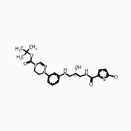 CC(C)(C)OC(=O)N1C=NN(c2cccc(NC[C@H](O)CNC(=O)c3ccc(Cl)s3)c2)CC1